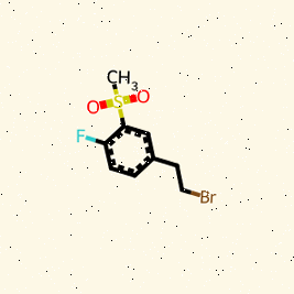 CS(=O)(=O)c1cc(CCBr)ccc1F